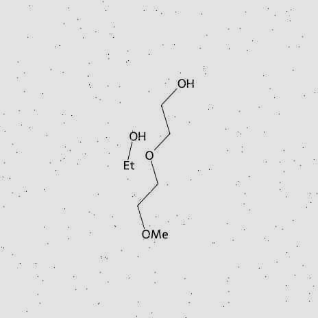 CCO.COCCOCCO